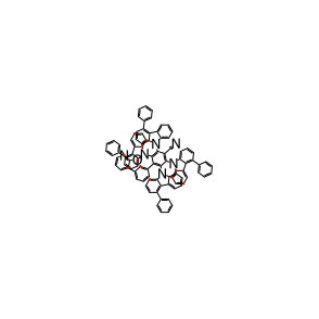 N#Cc1c(-n2c3ccccc3c3c(-c4ccccc4)cccc32)c(-n2c3ccccc3c3c(-c4ccccc4)cccc32)c(-c2cccc3c2oc2ncccc23)c(-n2c3ccccc3c3c(-c4ccccc4)cccc32)c1-n1c2ccccc2c2c(-c3ccccc3)cccc21